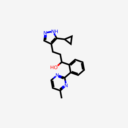 Cc1ccnc(-c2ccccc2C(O)CCc2cn[nH]c2C2CC2)n1